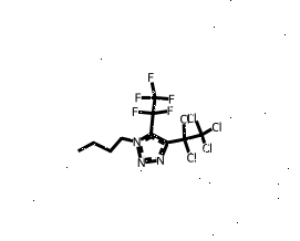 CCCCn1nnc(C(Cl)(Cl)C(Cl)(Cl)Cl)c1C(F)(F)C(F)(F)F